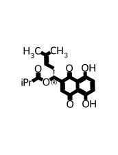 CC(C)=CC[C@@H](OC(=O)C(C)C)C1=CC(=O)c2c(O)ccc(O)c2C1=O